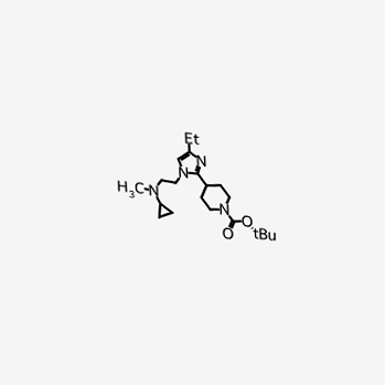 CCc1cn(CCN(C)C2CC2)c(C2CCN(C(=O)OC(C)(C)C)CC2)n1